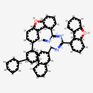 C=N/C(=N\C(=N/Cc1ccc2ccccc2c1)c1cccc2oc3ccccc3c12)c1cccc2oc3ccc(-c4cccc(-c5ccccc5)c4)cc3c12